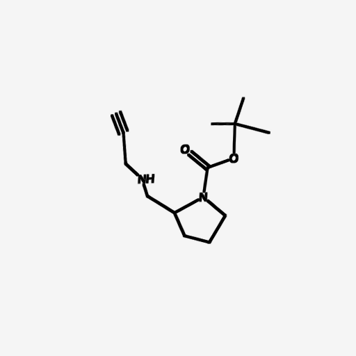 C#CCNCC1CCCN1C(=O)OC(C)(C)C